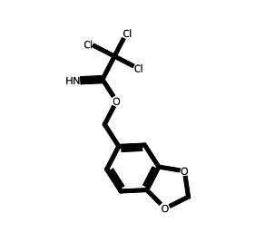 N=C(OCc1ccc2c(c1)OCO2)C(Cl)(Cl)Cl